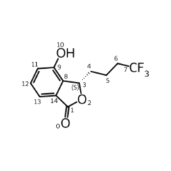 O=C1O[C@@H](CCCC(F)(F)F)c2c(O)cccc21